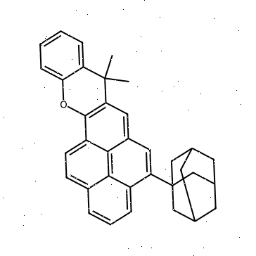 CC1(C)c2ccccc2Oc2c1cc1cc(C34CC5CC(CC(C5)C3)C4)c3cccc4ccc2c1c43